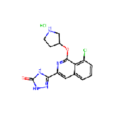 Cl.O=c1[nH]nc(-c2cc3cccc(Cl)c3c(OC3CCNC3)n2)[nH]1